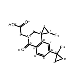 O=C(O)CN1C[C@]2(C[C@H]2F)c2cc(C3(F)CC3)ccc2C1=O